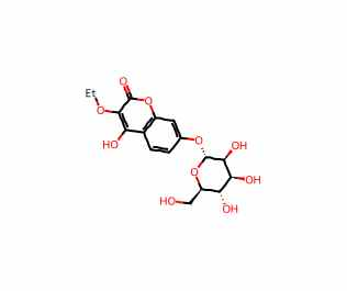 CCOc1c(O)c2ccc(O[C@H]3O[C@H](CO)[C@@H](O)[C@H](O)[C@@H]3O)cc2oc1=O